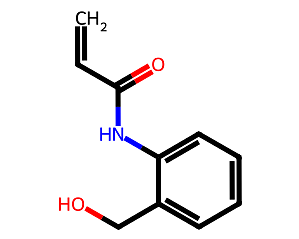 C=CC(=O)Nc1ccccc1CO